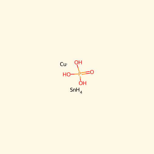 O=P(O)(O)O.[Cu].[SnH4]